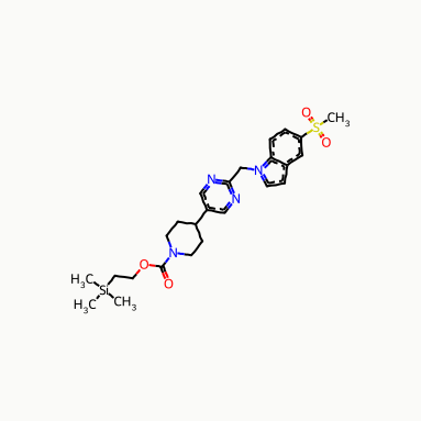 C[Si](C)(C)CCOC(=O)N1CCC(c2cnc(Cn3ccc4cc(S(C)(=O)=O)ccc43)nc2)CC1